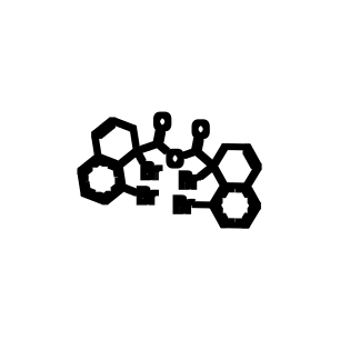 O=C(OC(=O)C1(Br)CC=Cc2cccc(Br)c21)C1(Br)CC=Cc2cccc(Br)c21